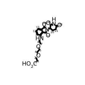 O=C(O)CCOCCOCCNc1cccc2c1C(=O)N(C1CCC(=O)NC1=O)C2=O